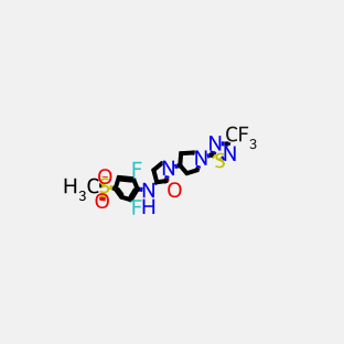 CS(=O)(=O)c1cc(F)c(N[C@H]2CCN(C3CCN(c4nc(C(F)(F)F)ns4)CC3)C2=O)c(F)c1